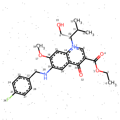 CCOC(=O)c1cn([C@H](CO)C(C)C)c2cc(OC)c(NCc3ccc(F)cc3)cc2c1=O